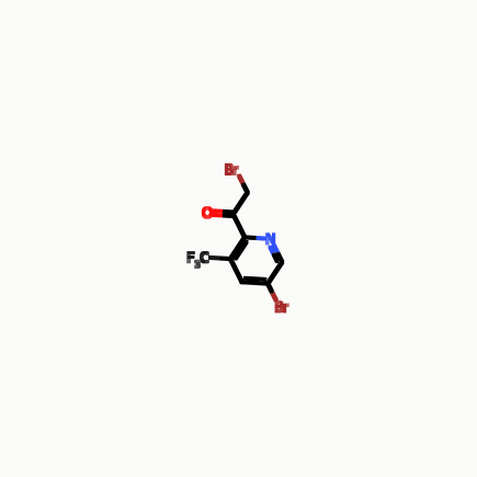 O=C(CBr)c1ncc(Br)cc1C(F)(F)F